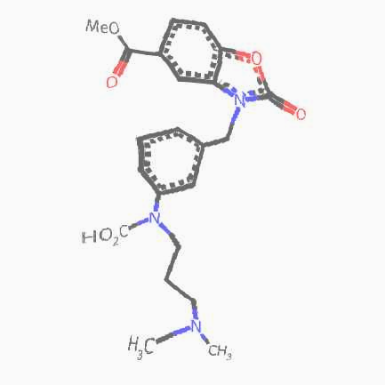 COC(=O)c1ccc2oc(=O)n(Cc3cccc(N(CCCN(C)C)C(=O)O)c3)c2c1